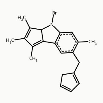 CC1=C(C)C2C(=C1C)c1cc(CC3=CC=CC3)c(C)cc1N2Br